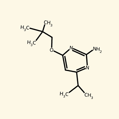 CC(C)c1cc(OCC(C)(C)C)nc(N)n1